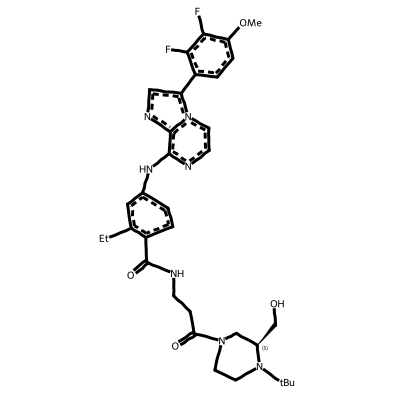 CCc1cc(Nc2nccn3c(-c4ccc(OC)c(F)c4F)cnc23)ccc1C(=O)NCCC(=O)N1CCN(C(C)(C)C)[C@H](CO)C1